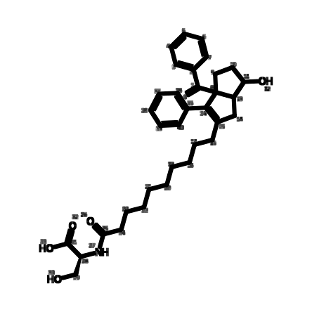 C=C(c1ccccc1)C12CCC(O)C1CC(CCCCCCCCCC(=O)N[C@@H](CO)C(=O)O)=C2c1ccccc1